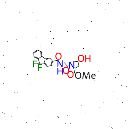 COC(=O)[C@@H]1C[C@@H](O)CN1C(=O)CNC(=O)c1ccc2c(c1)-c1ccccc1C2(F)F